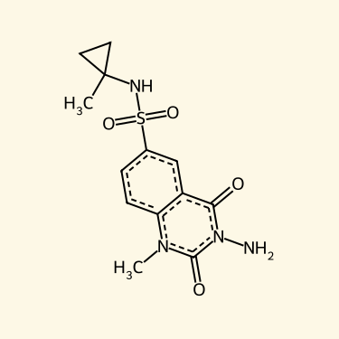 Cn1c(=O)n(N)c(=O)c2cc(S(=O)(=O)NC3(C)CC3)ccc21